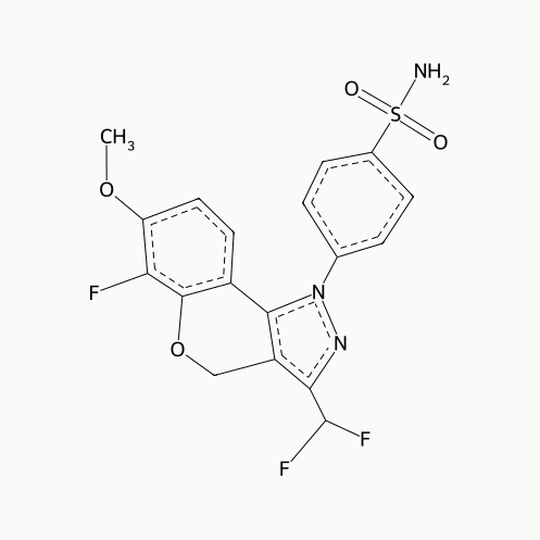 COc1ccc2c(c1F)OCc1c(C(F)F)nn(-c3ccc(S(N)(=O)=O)cc3)c1-2